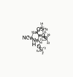 C[Si](C)(C)OC[C@H]1N[C@H](C#N)C[C@@H](O[Si](C)(C)C)[C@@H]1O[Si](C)(C)C